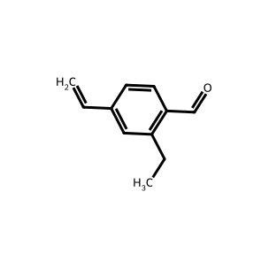 C=Cc1ccc(C=O)c(CC)c1